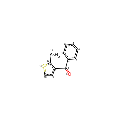 O=C(c1ccccc1)c1ccsc1[AsH2]